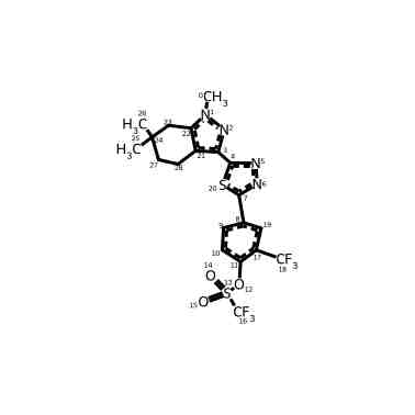 Cn1nc(-c2nnc(-c3ccc(OS(=O)(=O)C(F)(F)F)c(C(F)(F)F)c3)s2)c2c1CC(C)(C)CC2